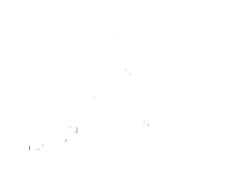 O.O.O=C([O-])CN(CCN(CC(=O)[O-])CC(=O)[O-])CC(=O)[O-].[Fe+3].[NH4+]